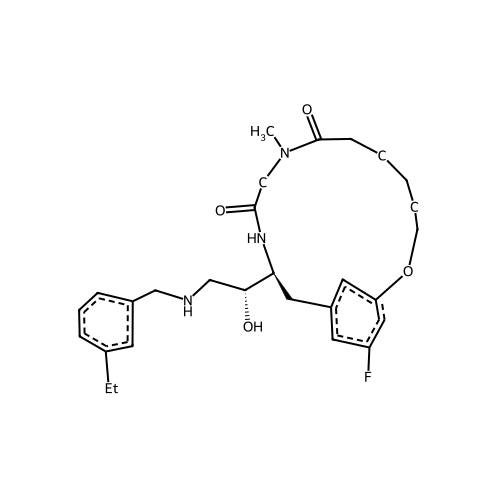 CCc1cccc(CNC[C@@H](O)[C@@H]2Cc3cc(F)cc(c3)OCCCCCC(=O)N(C)CC(=O)N2)c1